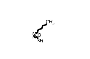 CCCCCc1nnc(S)o1